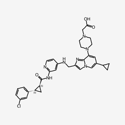 O=C(O)CN1CCN(c2cc(C3CC3)cn3cc(CNc4ccnc(NC(=O)[C@H]5C[C@@H]5c5cccc(Cl)c5)c4)nc23)CC1